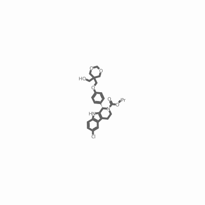 CC(C)OC(=O)N1CCc2c([nH]c3ccc(Cl)cc23)[C@@H]1c1ccc(OCC2(CO)COCOC2)cc1